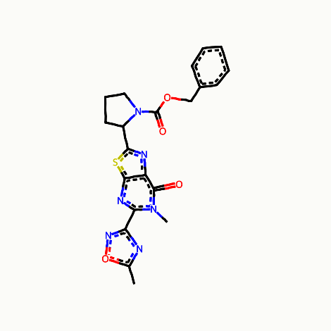 Cc1nc(-c2nc3sc(C4CCCN4C(=O)OCc4ccccc4)nc3c(=O)n2C)no1